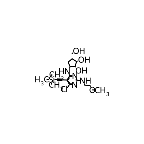 COCCNc1nc(Cl)c(C#C[Si](C)(C)C)c(N[C@@H]2C[C@H](CO)[C@@H](O)[C@H]2O)n1